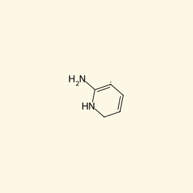 NC1=[C]C=CCN1